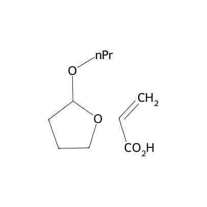 C=CC(=O)O.CCCOC1CCCO1